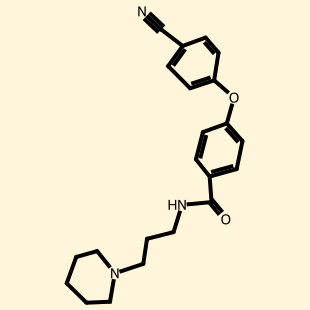 N#Cc1ccc(Oc2ccc(C(=O)NCCCN3CCCCC3)cc2)cc1